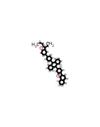 C=Cc1c(/C=C\C)oc2ccc(-c3ccc(-c4c5ccccc5c(-c5ccc6c(c5)oc5c7ccccc7ccc65)c5ccccc45)cc3)cc12